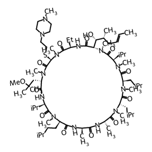 C/C=C/C[C@@H](C)[C@@H](O)[C@H]1C(=O)N[C@H](CC)C(=O)N(C)[C@H](SCCN2CCN(C)CC2)C(=O)N(C)[C@@H](CC(C)(C)OC)C(=O)N[C@H](C(C)C)C(=O)N(C)[C@H](CCC(C)C)C(=O)N[C@H](C)C(=O)N[C@@H](C)C(=O)N(C)[C@@H](CC(C)C)C(=O)N(C)[C@H](CC(C)C)C(=O)N(C)[C@H](C(C)C)C(=O)N1C